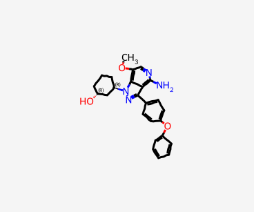 COc1cnc(N)c2c(-c3ccc(Oc4ccccc4)cc3)nn([C@@H]3CCC[C@@H](O)C3)c12